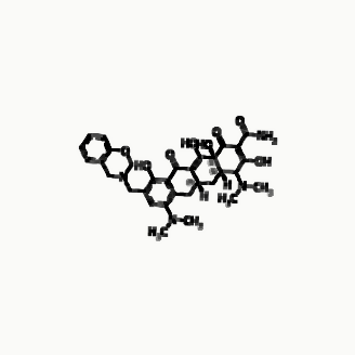 CN(C)c1cc(CN2COc3ccccc3C2)c(O)c2c1C[C@H]1C[C@H]3C(N(C)C)C(O)=C(C(N)=O)C(=O)[C@@]3(O)C(O)=C1C2=O